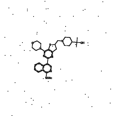 CC(=O)Nc1ncc(-c2nc3c(c(N4CCOCC4)n2)SC(CN2CCC(C(C)(C)O)CC2)C3)c2ccccc12